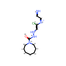 N=C/C=N\C(Cl)=C\NNC(=O)N1CCCCCCC1